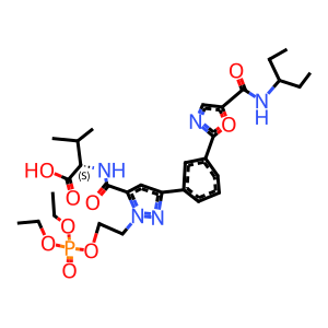 CCOP(=O)(OCC)OCCn1nc(-c2cccc(-c3ncc(C(=O)NC(CC)CC)o3)c2)cc1C(=O)N[C@H](C(=O)O)C(C)C